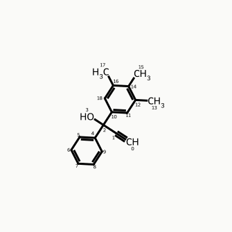 C#CC(O)(c1ccccc1)c1cc(C)c(C)c(C)c1